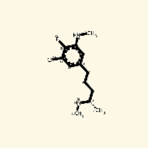 CNc1cc(CCC[C@H](C)NC)cc(Cl)c1F